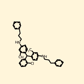 Cc1cc(NCCCc2ccccc2)ccc1C(c1ccc(NCCCc2ccccc2)cc1C)c1ccccc1Cl